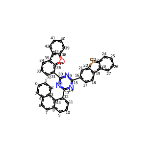 c1ccc2c(c1)ccc1cccc(-c3nc(-c4ccc5c(c4)sc4ccccc45)nc(-c4cccc5c4oc4ccccc45)n3)c12